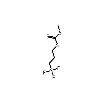 CSC(=S)SCCC[Si](F)(F)F